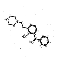 Cc1c(CCN2CCOCC2)cccc1C(=O)c1ccccc1